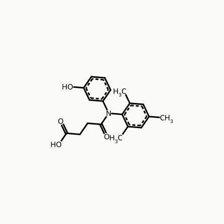 Cc1cc(C)c(N(C(=O)CCC(=O)O)c2cccc(O)c2)c(C)c1